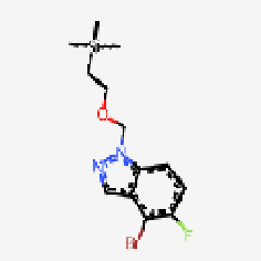 C[Si](C)(C)CCOCn1ncc2c(Br)c(F)ccc21